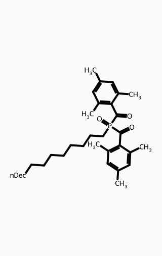 CCCCCCCCCCCCCCCCCCP(=O)(C(=O)c1c(C)cc(C)cc1C)C(=O)c1c(C)cc(C)cc1C